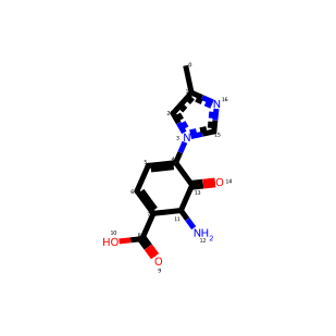 Cc1cn(C2=CC=C(C(=O)O)C(N)C2=O)cn1